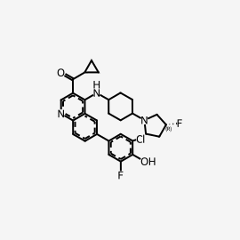 O=C(c1cnc2ccc(-c3cc(F)c(O)c(Cl)c3)cc2c1NC1CCC(N2CC[C@@H](F)C2)CC1)C1CC1